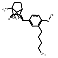 CCCCCc1cc(C=C2C(=O)C3(C)CCC2C3(C)C)ccc1OC